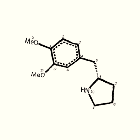 COc1ccc(C[C@@H]2CCCN2)cc1OC